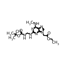 CCOC(=O)Cn1cnc2c(NC)nc(NCNC(=O)OC(C)(C)C)nc21